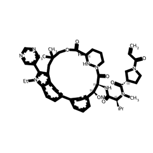 C=CC(=O)N1CC[C@H](C(=O)N(C)[C@H](C(=O)N[C@@H]2C(=O)N3CCC[C@H](N3)C(=O)OCC(C)(C)Cc3c(-c4cncnc4)n(CC)c4ccc(cc34)-c3cccc(c3)[C@@H]2OC)C(C)C)C1